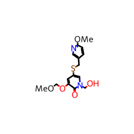 COCOc1cc(SCc2ccc(OC)nc2)cn(CO)c1=O